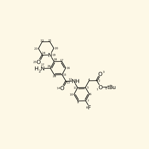 CC(C)(C)OC(=O)Cc1cc(F)ccc1NC(=O)c1ccc(N2CCCCC2=O)c(N)c1